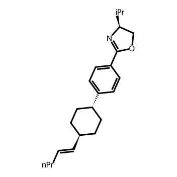 CCC/C=C/[C@H]1CC[C@H](c2ccc(C3=N[C@@H](C(C)C)CO3)cc2)CC1